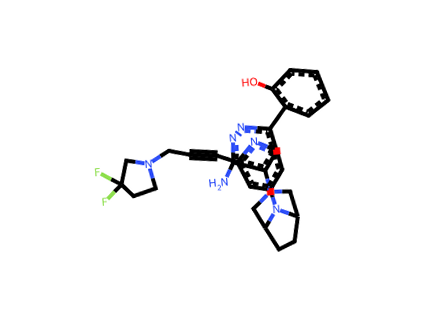 Nc1nnc(-c2ccccc2O)cc1N1CC2CCC(C1)N2c1ccnc(C#CCN2CCC(F)(F)C2)c1